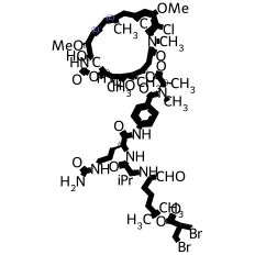 COc1cc2cc(c1Cl)N(C)C(=O)C[C@H](OC(=O)[C@H](C)N(C)C(=O)c1ccc(NC(=O)[C@H](CCCNC(N)=O)NC(=O)[C@@H](NC(C=O)CCCC(C)(C)OC(=O)C(CBr)CBr)C(C)C)cc1)[C@]1(C)O[C@H]1[C@H](C)[C@@H]1C[C@@](O)(NC(=O)O1)[C@H](OC)/C=C/C=C(\C)C2